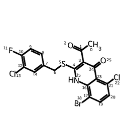 CC(=O)c1c(SCc2ccc(F)c(Cl)c2)[nH]c2c(Br)ccc(Cl)c2c1=O